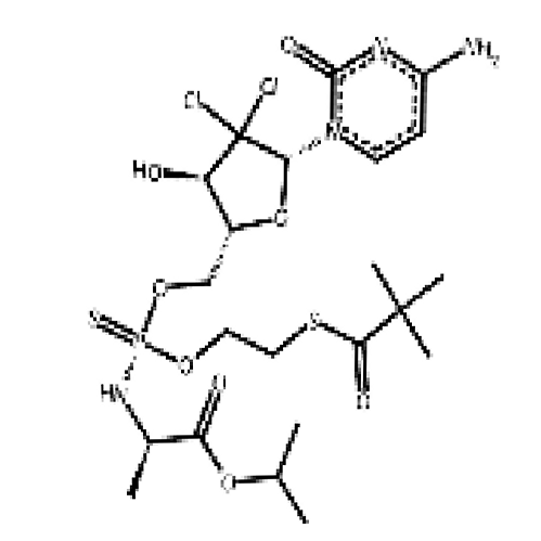 CC(C)OC(=O)[C@@H](C)N[P@@](=S)(OCCSC(=O)C(C)(C)C)OC[C@H]1O[C@@H](n2ccc(N)nc2=O)C(Cl)(Cl)[C@@H]1O